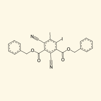 Cc1c(I)c(C(=O)OCc2ccccc2)c(C#N)c(C(=O)OCc2ccccc2)c1C#N